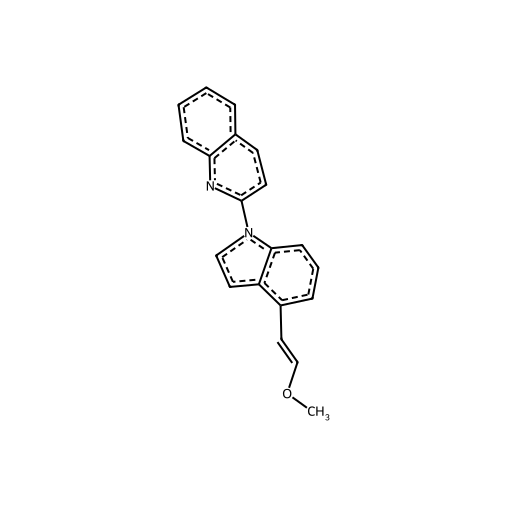 CO/C=C/c1cccc2c1ccn2-c1ccc2ccccc2n1